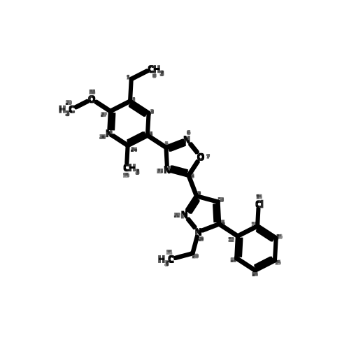 CCc1cc(-c2noc(-c3cc(-c4ccccc4Cl)n(CC)n3)n2)c(C)nc1OC